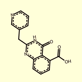 O=C(O)c1cccc2nc(Cc3cccnc3)[nH]c(=O)c12